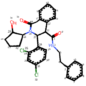 O=C(NCCc1ccccc1)C1c2ccccc2C(=O)N(C2CCCC2O)C1c1ccc(Cl)cc1Cl